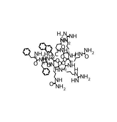 N=C(N)NCCC[C@H](NC(=O)[C@H](CCCNC(N)=O)NC(=O)[C@H](CCCNC(=N)N)NC(=O)[C@H](CCCNC(N)=O)NC(=O)[C@H](Cc1ccc2ccccc2c1)NC(=O)[C@@H](Cc1ccccc1)NC(=O)[C@@H](N)Cc1ccccc1)C(=O)N[C@@H](CCC(N)=O)C(=O)O